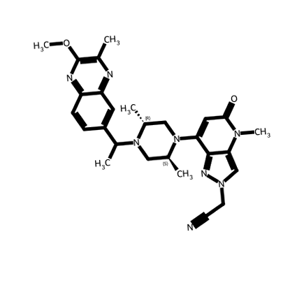 COc1nc2ccc(C(C)N3C[C@H](C)N(c4cc(=O)n(C)c5cn(CC#N)nc45)C[C@H]3C)cc2nc1C